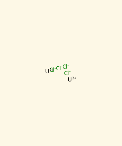 [Cl-].[Cl-].[Cl-].[Cl-].[U+2].[U+2]